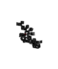 CCN(CC)CCNC(=O)c1ccc(-n2nc(C(=O)NC3(C(=O)O)C4CC5CC(C4)CC3C5)cc2-c2c(OC)cccc2OC)cc1C(C)C.Cl